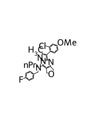 CCCN(Cc1ccc(F)cc1)c1c2c(nc3c(-c4ccc(OC)cc4Cl)c(C)nn13)COC2